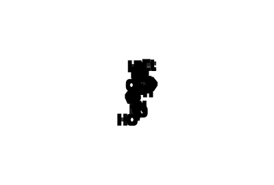 CCNc1ncc2c(n1)N1CCC[C@H]1CN(c1cccc(-c3noc(CO)n3)c1)C2=O